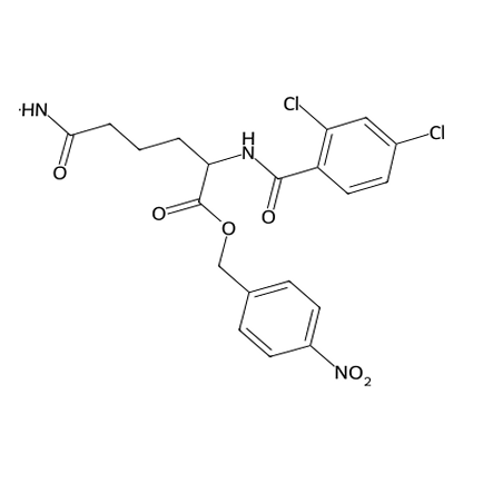 [NH]C(=O)CCCC(NC(=O)c1ccc(Cl)cc1Cl)C(=O)OCc1ccc([N+](=O)[O-])cc1